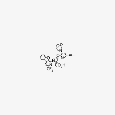 CC#Cc1cnc(O[C@H]2C[C@@H](C(=O)O)N(c3nc(C(F)(F)F)nc4c3oc3ccccc34)C2)c(N2CCOC3(CC3)C2)c1